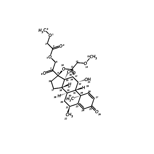 COCC(=O)OCC(=O)[C@@]1(OC(=O)COC)CC[C@H]2[C@@H]3C[C@H](C)C4=CC(=O)C=C[C@]4(C)[C@H]3[C@@H](O)C[C@@]21C